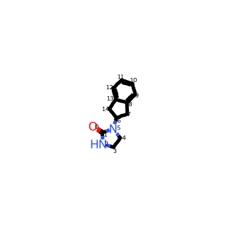 O=C1NCCN1C1Cc2ccccc2C1